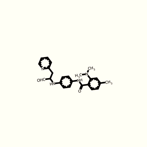 Cc1ccc(C(=O)Nc2ccc(NC(C=O)Cc3ccccn3)cc2)c(N(C)C)c1